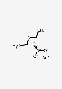 CCSCC.O=[N+]([O-])[O-].[Ag+]